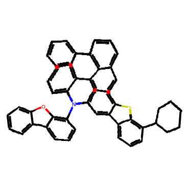 c1ccc(-c2cccc3cccc(-c4ccccc4N(c4ccc5sc6c(C7CCCCC7)cccc6c5c4)c4cccc5c4oc4ccccc45)c23)cc1